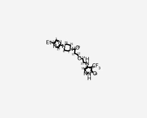 CCc1cnc(N2CCN(C(=O)CCOCCNc3cn[nH]c(=O)c3C(F)(F)F)CC2)cn1